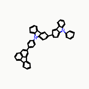 c1ccc(-n2c3ccccc3c3cc(-c4ccc5c(c4)c4ccccc4n5-c4ccc(-c5cc6c7c(cccc7c5)-c5ccccc5-6)cc4)ccc32)cc1